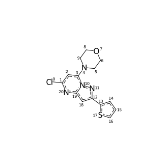 Clc1cc(N2CCOCC2)n2nc(-c3cccs3)cc2n1